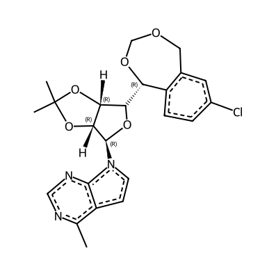 Cc1ncnc2c1ccn2[C@@H]1OC([C@@H]2OCOCc3cc(Cl)ccc32)[C@H]2OC(C)(C)O[C@H]21